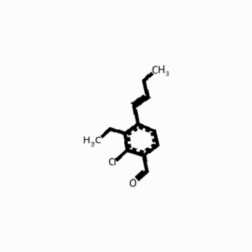 CCC=Cc1ccc(C=O)c(Cl)c1CC